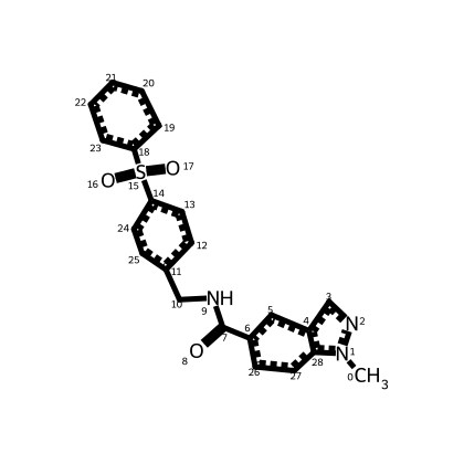 Cn1ncc2cc(C(=O)NCc3ccc(S(=O)(=O)c4ccccc4)cc3)ccc21